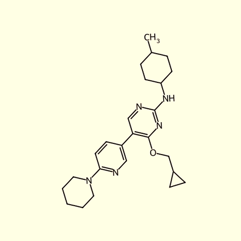 CC1CCC(Nc2ncc(-c3ccc(N4CCCCC4)nc3)c(OCC3CC3)n2)CC1